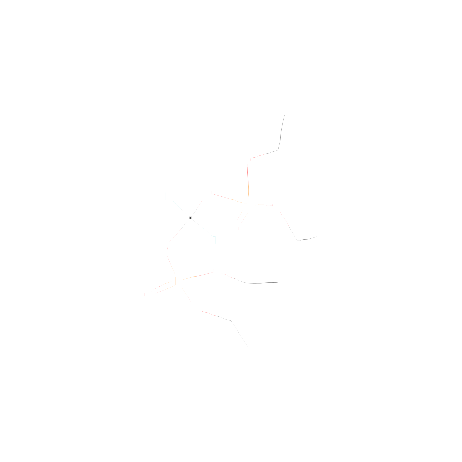 CCOP(=O)(OCC)OC(F)(F)OP(=O)(OCC)OCC